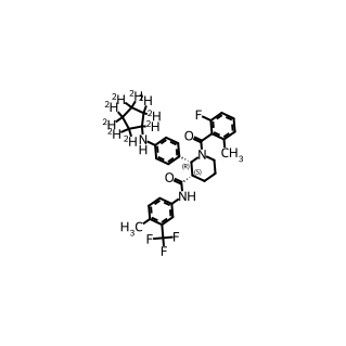 [2H]C1([2H])C([2H])([2H])C([2H])([2H])C([2H])(Nc2ccc([C@H]3[C@@H](C(=O)Nc4ccc(C)c(C(F)(F)F)c4)CCCN3C(=O)c3c(C)cccc3F)cc2)C1([2H])[2H]